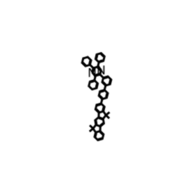 CC1(C)c2ccccc2-c2cc3c(cc21)-c1ccc(-c2ccc(-c4cccc(-c5nc(-c6ccccc6)c(C6=CCCC=C6)nc5C5=CCCC=C5)c4)cc2)cc1C3(C)C